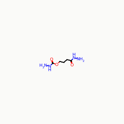 NNC(=O)CCCOC(=O)NN